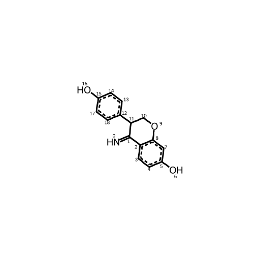 N=C1c2ccc(O)cc2OCC1c1ccc(O)cc1